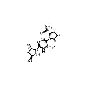 CCC[C@H](NC(=O)[C@H]1NC(=O)C[C@H]1C)C(=O)N1CCC[C@H]1C(N)=O